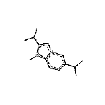 CC(C)c1ccc2n(c1)cc(C(C)C)[n+]2C